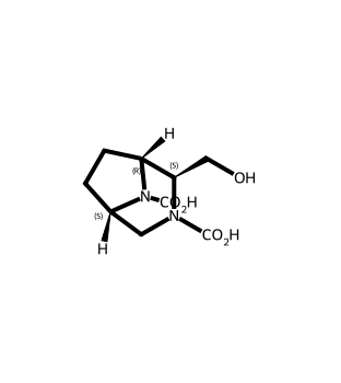 O=C(O)N1C[C@@H]2CC[C@H]([C@H]1CO)N2C(=O)O